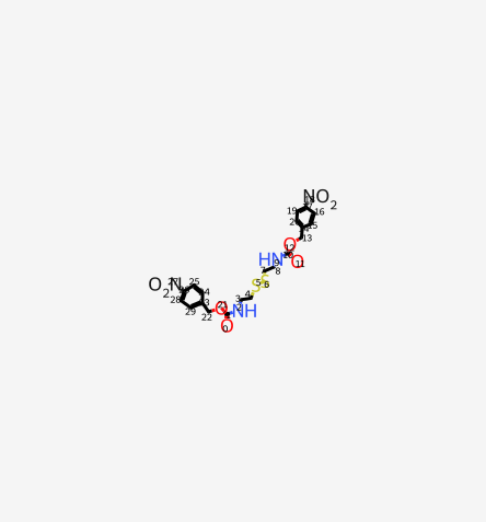 O=C(NCCSSCCNC(=O)OCc1ccc([N+](=O)[O-])cc1)OCc1ccc([N+](=O)[O-])cc1